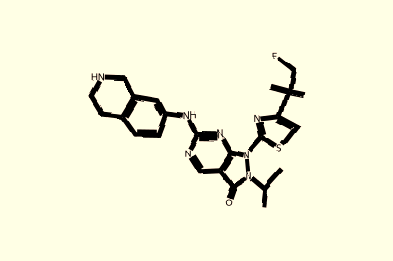 CC(C)n1c(=O)c2cnc(Nc3ccc4c(c3)CNCC4)nc2n1-c1nc(C(C)(C)CF)cs1